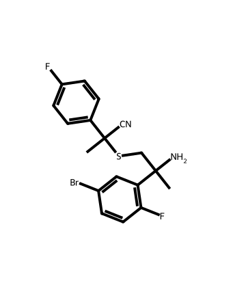 CC(N)(CSC(C)(C#N)c1ccc(F)cc1)c1cc(Br)ccc1F